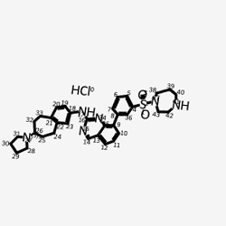 Cl.O=S(=O)(c1cccc(-c2cccc3cnc(Nc4ccc5c(c4)CC[C@@H](N4CCCC4)CC5)nc23)c1)N1CCCNCC1